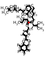 CCCCCCN(C(=O)[C@@H](NC(=O)[C@@]1(C)CCCN1C(=O)CNC(=O)OC(C)(C)C)[C@@H](C)CC)[C@H](C[C@@H](OC(C)=O)c1nc(C(=O)Oc2c(F)c(F)c(F)c(F)c2F)cs1)C(C)C